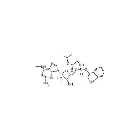 CNc1nc(N)nc2c1ncn2[C@@H]1O[C@H](CO[P@@](=O)(N[C@@H](C)C(=O)OC(C)C)Oc2cccc3ccccc23)[C@@H](O)[C@@]1(C)F